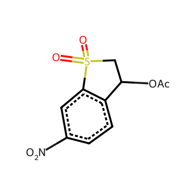 CC(=O)OC1CS(=O)(=O)c2cc([N+](=O)[O-])ccc21